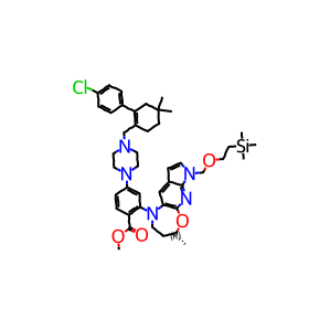 COC(=O)c1ccc(N2CCN(CC3=C(c4ccc(Cl)cc4)CC(C)(C)CC3)CC2)cc1N1CC[C@@H](C)Oc2nc3c(ccn3COCC[Si](C)(C)C)cc21